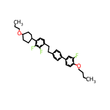 CCCCOc1ccc(-c2ccc(CCc3ccc(C4CCC(OCCC)CC4)c(F)c3F)cc2)cc1F